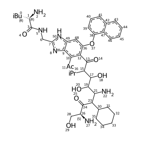 CC[C@@H](C)[C@@H](N)C(=O)NCc1nc2c(C(C)=O)c(C(=O)C(C(C)C)C(O)C(O)C(N)C(C(=O)[C@@H](N)CO)C3CCCCC3)c(Oc3cccc4ccccc34)cc2[nH]1